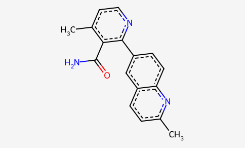 Cc1ccc2cc(-c3nccc(C)c3C(N)=O)ccc2n1